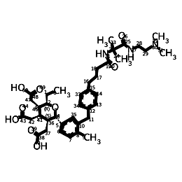 CC[C@H]1O[C@H](c2ccc(C)c(Cc3ccc(CCCC(=O)NC(C)(C)C(=O)NCCN(C)C)cc3)c2)[C@@H](CC(=O)O)[C@@H](CC(=O)O)[C@H]1CC(=O)O